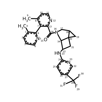 Cc1cccnc1-c1c(C)ccnc1C(=O)N1CC2CC23CC(Nc2ccc(C(F)(F)F)cn2)C13